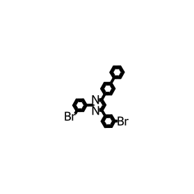 Brc1cccc(-c2cc(-c3ccc(-c4ccccc4)cc3)nc(-c3cccc(Br)c3)n2)c1